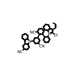 C/C=C\c1c(CC)n(-c2ccccc2-c2cccc(C#N)c2-c2cc(C#N)cc(-n3c4ccccc4c4cc(C#N)ccc43)c2)c2ccccc12